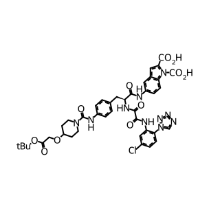 CC(C)(C)OC(=O)COC1CCN(C(=O)Nc2ccc(C[C@H](NC(=O)C(=O)Nc3cc(Cl)ccc3-n3cnnn3)C(=O)Nc3ccc4c(c3)cc(C(=O)O)n4C(=O)O)cc2)CC1